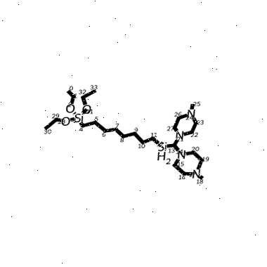 CCO[Si](CCCCCCCC[SiH2]C(N1CCN(C)CC1)N1CCN(C)CC1)(OCC)OCC